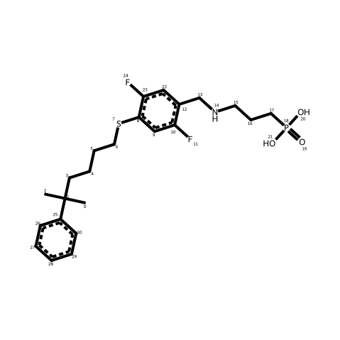 CC(C)(CCCCSc1cc(F)c(CNCCCP(=O)(O)O)cc1F)c1ccccc1